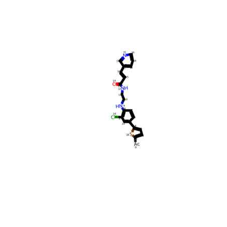 CC(=O)c1ccc(-c2ccc(NCCNC(=O)/C=C/c3cccnc3)c(Cl)c2)s1